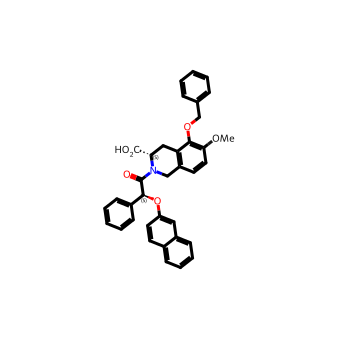 COc1ccc2c(c1OCc1ccccc1)C[C@@H](C(=O)O)N(C(=O)[C@@H](Oc1ccc3ccccc3c1)c1ccccc1)C2